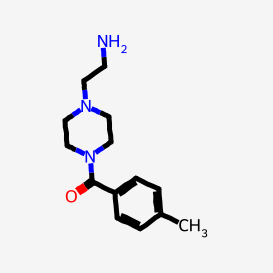 Cc1ccc(C(=O)N2CCN(CCN)CC2)cc1